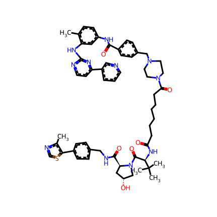 Cc1ccc(NC(=O)c2ccc(CN3CCN(C(=O)CCCCCCC(=O)N[C@H](C(=O)N4C[C@H](O)C[C@H]4C(=O)NCc4ccc(-c5scnc5C)cc4)C(C)(C)C)CC3)cc2)cc1Nc1nccc(-c2cccnc2)n1